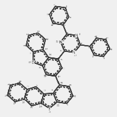 c1ccc(-c2nc(-c3ccccc3)nc(-c3cc(-c4cccc5sc6cc7ccccc7cc6c45)cc4oc5ccccc5c34)n2)cc1